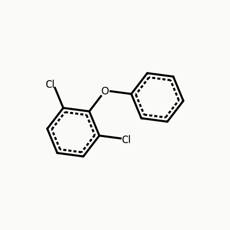 Clc1cccc(Cl)c1Oc1ccccc1